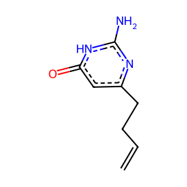 C=CCCc1cc(=O)[nH]c(N)n1